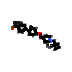 COC(=O)c1ccc(-c2ccc(OCC3CCN(CC4(C(F)(F)F)CCC4)CC3)cc2)cc1